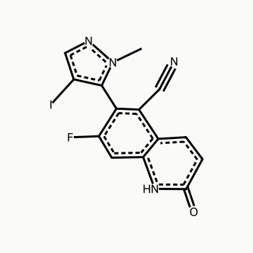 Cn1ncc(I)c1-c1c(F)cc2[nH]c(=O)ccc2c1C#N